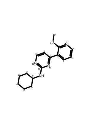 COc1ncccc1-c1ccnc(NC2CCCCC2)n1